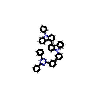 c1ccc(-c2nc(-c3ccccc3)nc(-c3cccc(-c4cccc(-n5c6ccccc6c6c(-c7cccc8c7c7ccccc7n8-c7ccccc7)cccc65)c4)c3)n2)cc1